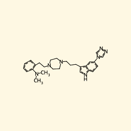 CN(C)c1ccccc1CCN1CCN(CCCc2c[nH]c3ccc(-n4cnnc4)cc23)CC1